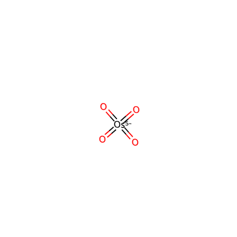 [O]=[Os-5](=[O])(=[O])=[O]